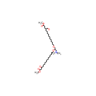 COC(=O)CCC(C=O)CCCCCCCCCCCCOCC(CN(C)C)OCCCCCCCCCCCCCC(=O)CC(=O)OC